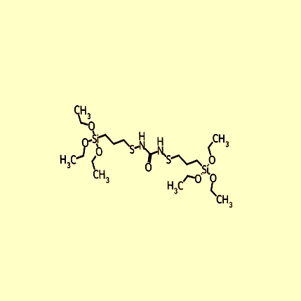 CCO[Si](CCCSNC(=O)NSCCC[Si](OCC)(OCC)OCC)(OCC)OCC